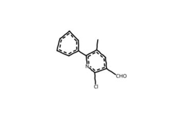 Cc1cc(C=O)c(Cl)nc1-c1ccccc1